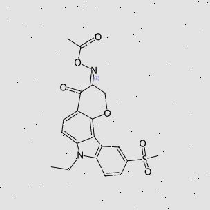 CCn1c2ccc(S(C)(=O)=O)cc2c2c3c(ccc21)C(=O)/C(=N\OC(C)=O)CO3